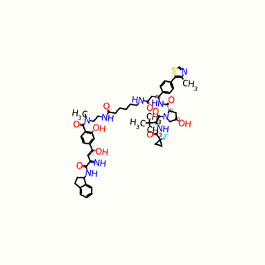 Cc1ncsc1-c1ccc([C@H](CC(=O)NCCCCCC(=O)NCCN(C)C(=O)c2ccc(/C(O)=C/C(=N)C(=O)NC3CCc4ccccc43)cc2O)NC(=O)[C@@H]2C[C@@H](O)CN2C(=O)[C@@H](NC(=O)C2(F)CC2)C(C)(C)C)cc1